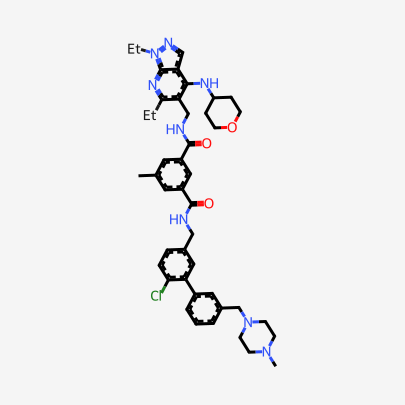 CCc1nc2c(cnn2CC)c(NC2CCOCC2)c1CNC(=O)c1cc(C)cc(C(=O)NCc2ccc(Cl)c(-c3cccc(CN4CCN(C)CC4)c3)c2)c1